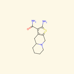 NC(=O)c1c(N)sc2c1CC1CCCCN1C2